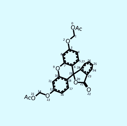 CC(=O)OCOc1ccc2c(c1)Oc1cc(OCOC(C)=O)ccc1C21OC(=O)c2ccccc21